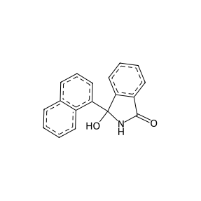 O=C1NC(O)(c2cccc3ccccc23)c2ccccc21